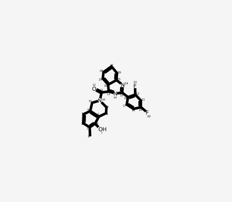 Cc1ccc2c(c1O)CCN(C(=O)c1nc(-c3ccc(F)cc3F)nc3ccccc13)C2